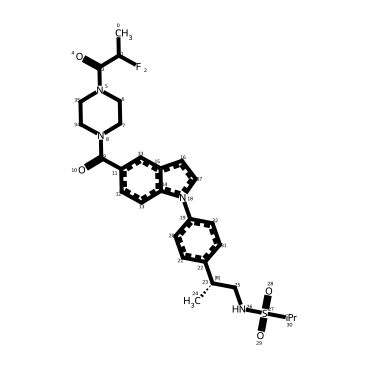 CC(F)C(=O)N1CCN(C(=O)c2ccc3c(ccn3-c3ccc([C@@H](C)CNS(=O)(=O)C(C)C)cc3)c2)CC1